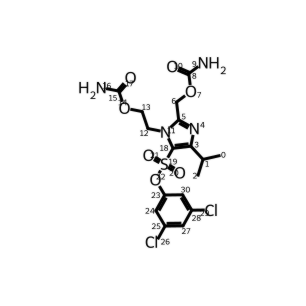 CC(C)c1nc(COC(N)=O)n(CCOC(N)=O)c1S(=O)(=O)Oc1cc(Cl)cc(Cl)c1